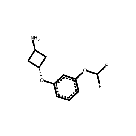 N[C@H]1C[C@H](Oc2cccc(OC(F)F)c2)C1